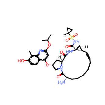 Cc1c(O)ccc2c(O[C@@H]3C[C@H]4C(=O)N[C@]5(C(=O)NS(=O)(=O)C6(C)CC6)C[C@H]5/C=C\CCCCC[C@H](N)C(=O)N4C3)cc(OC(C)C)nc12